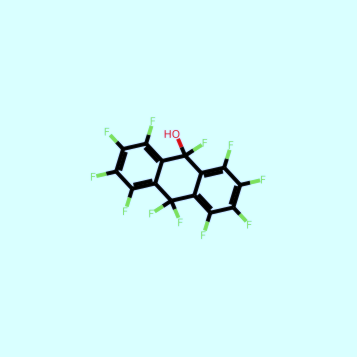 OC1(F)c2c(F)c(F)c(F)c(F)c2C(F)(F)c2c(F)c(F)c(F)c(F)c21